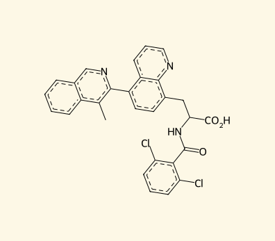 Cc1c(-c2ccc(CC(NC(=O)c3c(Cl)cccc3Cl)C(=O)O)c3ncccc23)ncc2ccccc12